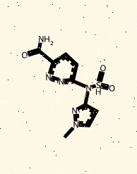 Cn1ccc(N(c2ccc(C(N)=O)nn2)[SH](=O)=O)n1